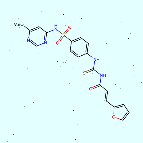 COc1cc(NS(=O)(=O)c2ccc(NC(=S)NC(=O)/C=C/c3ccco3)cc2)ncn1